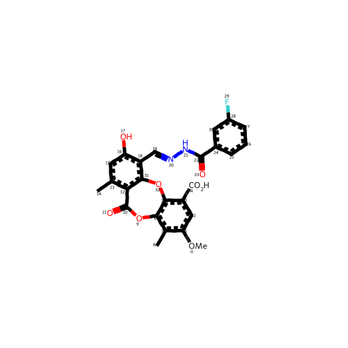 COc1cc(C(=O)O)c2c(c1C)OC(=O)c1c(C)cc(O)c(C=NNC(=O)c3cccc(F)c3)c1O2